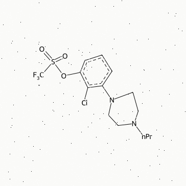 CCCN1CCN(c2cccc(OS(=O)(=O)C(F)(F)F)c2Cl)CC1